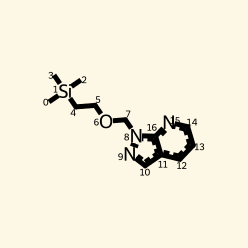 C[Si](C)(C)CCOCn1ncc2cccnc21